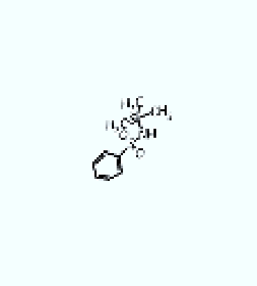 C[Si](C)(C)NS(=O)(=O)c1ccccc1